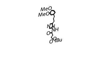 COc1ccc(CCCc2cncc(NC(=O)CCC(=O)OC(C)(C)C)n2)cc1OC